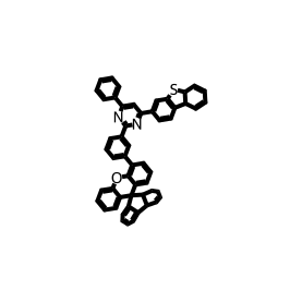 C1=CC2Sc3cc(-c4cc(-c5ccccc5)nc(-c5cccc(-c6cccc7c6Oc6ccccc6C76c7ccccc7C7C=CCCC76)c5)n4)ccc3C2C=C1